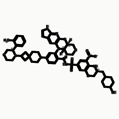 Cc1ccccc1[C@@H]1COCCN1C1CC2(CCN(c3ccc(C(=O)NS(=O)(=O)c4cc5c(c([N+](=O)[O-])c4)N[C@@H](CC4CCC(O)CC4)CO5)c(N4c5cc6cc[nH]c6nc5O[C@H]5COCC[C@@H]54)c3)CC2)C1